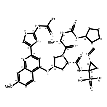 C=C[C@@H]1C[C@]1(NC(=O)[C@@H]1C[C@@H](Oc2cc(-c3csc(NC(=O)C(C)C)n3)nc3cc(OC)ccc23)CN1C(=O)[C@@H](NC(=O)OC1CCCC1)C(C)(C)C)P(=O)(O)O